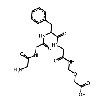 NCC(=O)NCC(=O)NC(Cc1ccccc1)C(=O)NCC(=O)NCOCC(=O)O